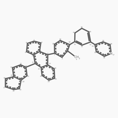 Cc1cc(-c2c3ccccc3c(-c3ccc4ccccc4c3)c3ccccc23)ccc1C1=CC(c2ccncc2)=CCC1